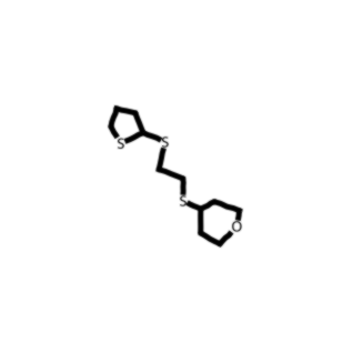 C1CSC(SCCSC2CCOCC2)C1